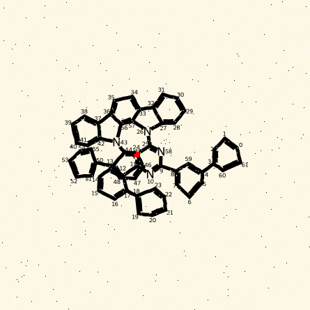 c1ccc(-c2cccc(-c3nc(-c4ccccc4-c4ccccc4)nc(-n4c5ccccc5c5ccc6c7ccccc7n(-c7ccccc7-c7ccccc7)c6c54)n3)c2)cc1